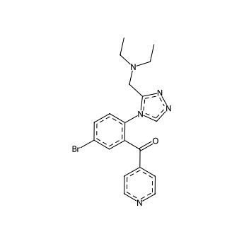 CCN(CC)Cc1nncn1-c1ccc(Br)cc1C(=O)c1ccncc1